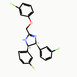 Fc1cccc(OCC2=N[C@@H](c3cccc(F)c3)[C@@H](c3cccc(F)c3)N2)c1